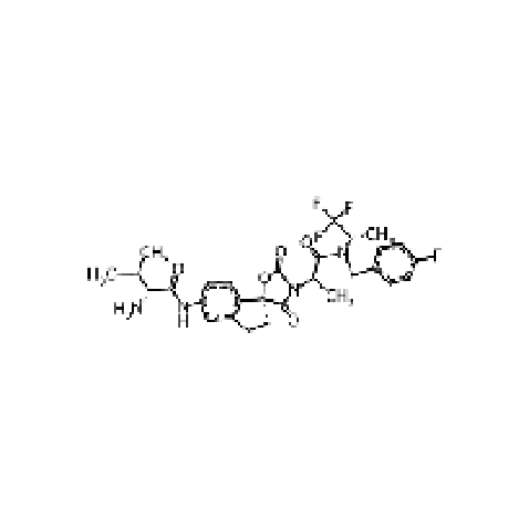 CC(C)[C@@H](N)C(=O)Nc1ccc2c(c1)CC[C@@]21OC(=O)N(C(C)C(=O)N(Cc2ccc(F)cc2)[C@@H](C)C(F)(F)F)C1=O